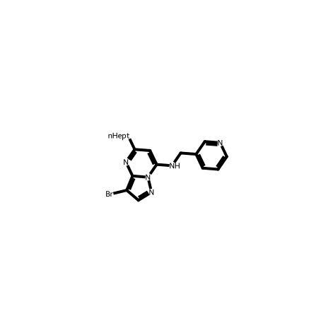 CCCCCCCc1cc(NCc2cccnc2)n2ncc(Br)c2n1